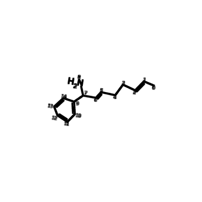 CC=CCCC=CC(N)c1ccccc1